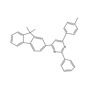 Cc1ccc(-c2cc(-c3ccc4c(c3)C(C)(C)c3ccccc3-4)nc(-c3ccccc3)n2)cc1